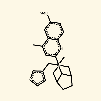 COc1ccc2nc(N3CC4CCC(C3)C4N(C)Cc3ccsc3)cc(C)c2c1